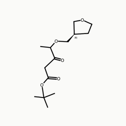 CC(OC[C@@H]1CCOC1)C(=O)CC(=O)OC(C)(C)C